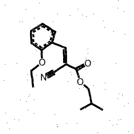 CCOc1ccccc1C=C(C#N)C(=O)OCC(C)C